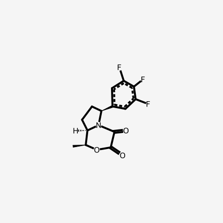 C[C@@H]1OC(=O)C(=O)N2[C@@H]1CC[C@H]2c1cc(F)c(F)c(F)c1